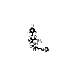 CCN(CCCCN1CCCC1)C(=O)Nc1snc(OCc2c(F)cc(Cl)cc2F)c1C(N)=O